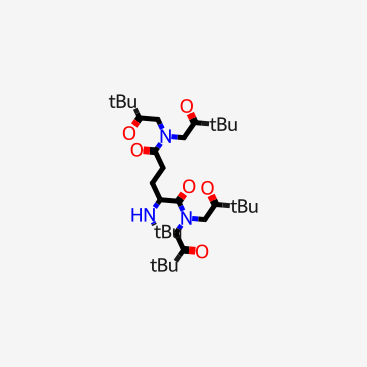 CC(C)(C)NC(CCC(=O)N(CC(=O)C(C)(C)C)CC(=O)C(C)(C)C)C(=O)N(CC(=O)C(C)(C)C)CC(=O)C(C)(C)C